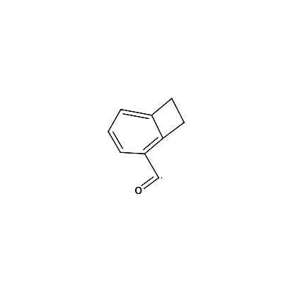 O=[C]c1cccc2c1CC2